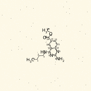 CCCCNc1nc(N)nc2ccc(C(=O)OC)cc12